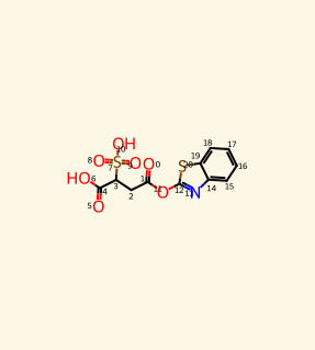 O=C(CC(C(=O)O)S(=O)(=O)O)Oc1nc2ccccc2s1